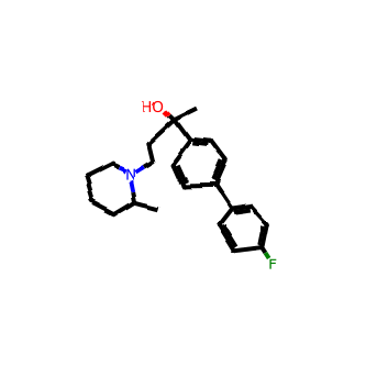 CC1CCCCN1CCC(C)(O)c1ccc(-c2ccc(F)cc2)cc1